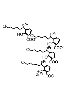 CCCC(CCCCCCl)c1cccc(C(=O)[O-])c1O.CCCC(CCCCCCl)c1cccc(C(=O)[O-])c1O.CCCC(CCCCCCl)c1cccc(C(=O)[O-])c1O.CCCC(CCCCCCl)c1cccc(C(=O)[O-])c1O.[Zr+4]